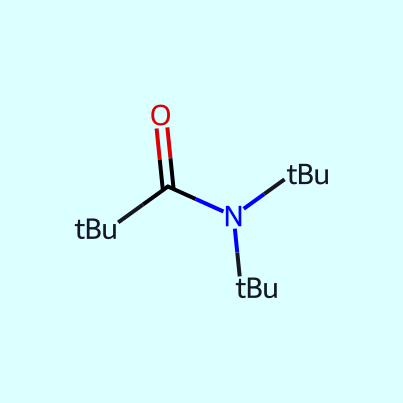 CC(C)(C)C(=O)N(C(C)(C)C)C(C)(C)C